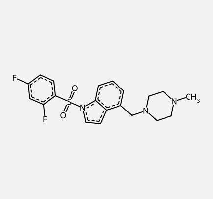 CN1CCN(Cc2cccc3c2ccn3S(=O)(=O)c2ccc(F)cc2F)CC1